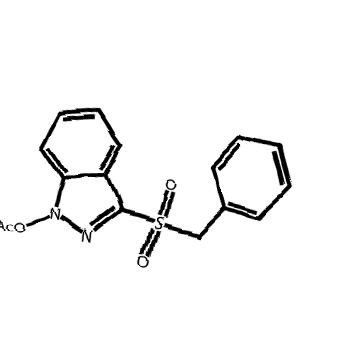 CC(=O)On1nc(S(=O)(=O)Cc2ccccc2)c2ccccc21